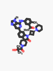 CNC(=O)c1cc(Nc2nc(-c3ccc4c(c3)N([C@H]3C[C@@H](N5CCCCC5)C3)C(=O)C43CCN(C(=O)C(C)(C)O)CC3)cc3ncn(C(C)C)c23)ccc1C